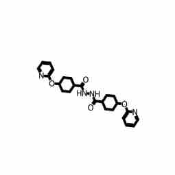 O=C(NNC(=O)C1CCC(Oc2ccccn2)CC1)C1CCC(Oc2ccccn2)CC1